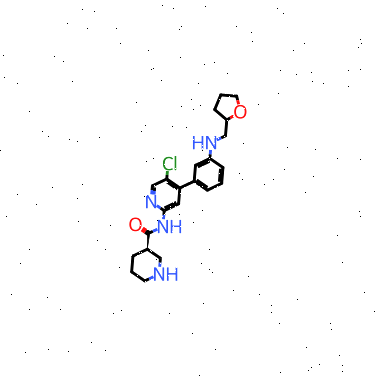 O=C(Nc1cc(-c2cccc(NCC3CCCO3)c2)c(Cl)cn1)[C@@H]1CCCNC1